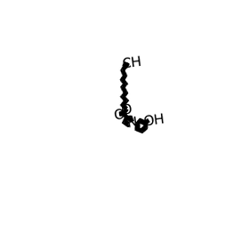 C#CCCCCCCCCCOC(=O)c1ccn(-c2cccc(O)c2)c1